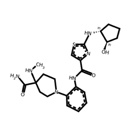 CNC1(C(N)=O)CCN(c2ccccc2NC(=O)c2csc(N[C@@H]3CCC[C@H]3O)n2)CC1